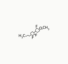 CCCCC1CCC(C2CCC(OCC)C(F)C2)C(F)C1F